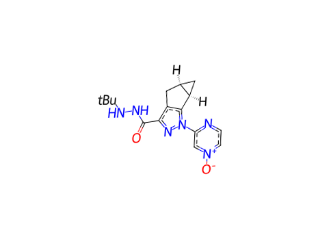 CC(C)(C)NNC(=O)c1nn(-c2c[n+]([O-])ccn2)c2c1C[C@H]1C[C@@H]21